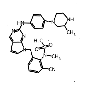 CC1CN(c2ccc(Nc3ncc4ccn(Cc5cccc(C#N)c5N(C)S(C)(=O)=O)c4n3)cc2)CCN1